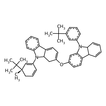 CC(C)(C)c1cccc(N2c3cc(OC4=CC=C5c6ccccc6N(C6=C[C@@](C)(C(C)(C)C)CC=C6)C5C4)ccc3C3C=CC=CC32)c1